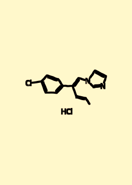 CC=CC(=Cn1ccnc1)c1ccc(Cl)cc1.Cl